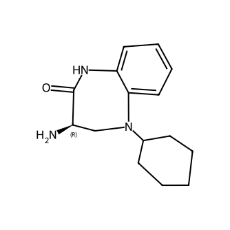 N[C@@H]1CN(C2CCCCC2)c2ccccc2NC1=O